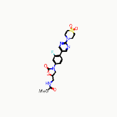 COC(=O)NCC1CN(c2ccc(-c3cnc(N4CCS(=O)(=O)CC4)nc3)c(F)c2)C(=O)O1